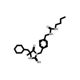 CCCCNC(=O)NCc1ccc(CN2C(=N)NC(C)(CC3CCCCC3)C2=O)cc1